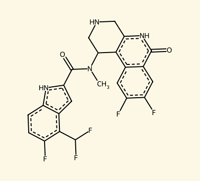 CN(C(=O)c1cc2c(C(F)F)c(F)ccc2[nH]1)C1CNCc2[nH]c(=O)c3cc(F)c(F)cc3c21